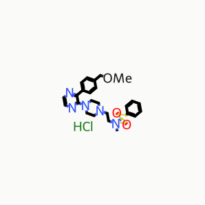 COCc1ccc(-c2nccnc2N2CCN(CCN(C)S(=O)(=O)c3ccccc3)CC2)cc1.Cl